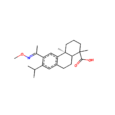 CO/N=C(\C)c1cc2c(cc1C(C)C)CCC1C(C)(C(=O)O)CCC[C@]21C